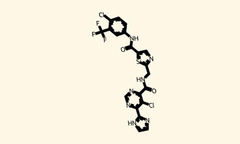 O=C(Nc1ccc(Cl)c(C(F)(F)F)c1)c1cnc(CNC(=O)c2ncnc(-c3ncc[nH]3)c2Cl)s1